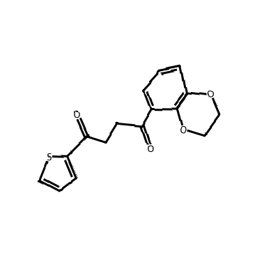 O=C(CCC(=O)c1cccc2c1OCCO2)c1cccs1